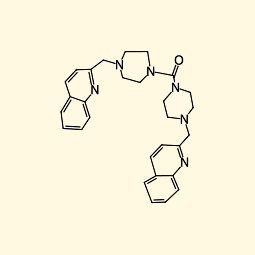 O=C(N1CCN(Cc2ccc3ccccc3n2)CC1)N1CCN(Cc2ccc3ccccc3n2)CC1